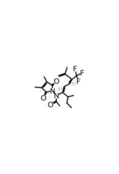 C=C(C)/C(=C\C=C(/C(C)CC)N(C(C)=O)N1C(=O)C(C)=C(C)C1=O)C(F)(F)F